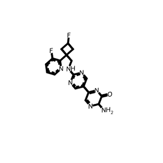 NC1N=CC(c2cnc(NCC3(c4ncccc4F)CC(F)C3)nc2)=NC1=O